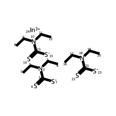 CCN(CC)C(=S)[S-].CCN(CC)C(=S)[S-].CCN(CC)C(=S)[S-].[In+3]